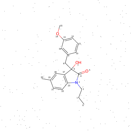 CCCN1C(=O)C(O)(Cc2cccc(OC)c2)c2cc(C)ccc21